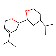 CC(C)C1=CCOC(C2CC(C(C)C)CCO2)C1